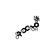 CC1=C(N2CCC3(CCN(C[C@H](O)c4cccc(-n5cnnn5)c4)CC3)CC2)COC1=O